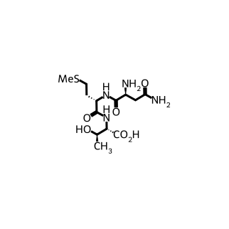 CSCC[C@H](NC(=O)[C@@H](N)CC(N)=O)C(=O)N[C@H](C(=O)O)[C@@H](C)O